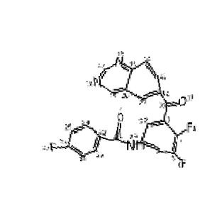 O=C(Nc1cc(F)c(F)c(C(=O)c2ccc3ncncc3c2)c1)c1ccc(F)cc1